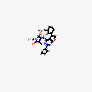 COc1cccc(-c2csc3nc(-c4cccs4)nc(NC4=C(C)C(=O)NC4=O)c23)c1.Cl